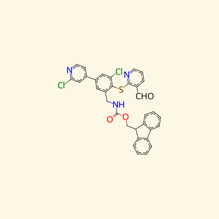 O=Cc1cccnc1Sc1c(Cl)cc(-c2ccnc(Cl)c2)cc1CNC(=O)OCC1c2ccccc2-c2ccccc21